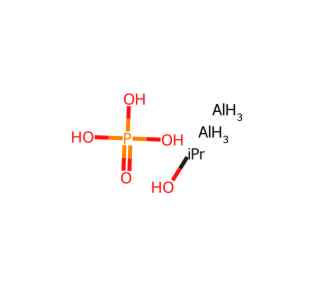 CC(C)O.O=P(O)(O)O.[AlH3].[AlH3]